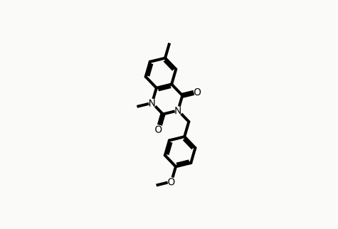 COc1ccc(Cn2c(=O)c3cc(C)ccc3n(C)c2=O)cc1